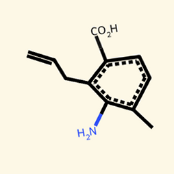 C=CCc1c(C(=O)O)ccc(C)c1N